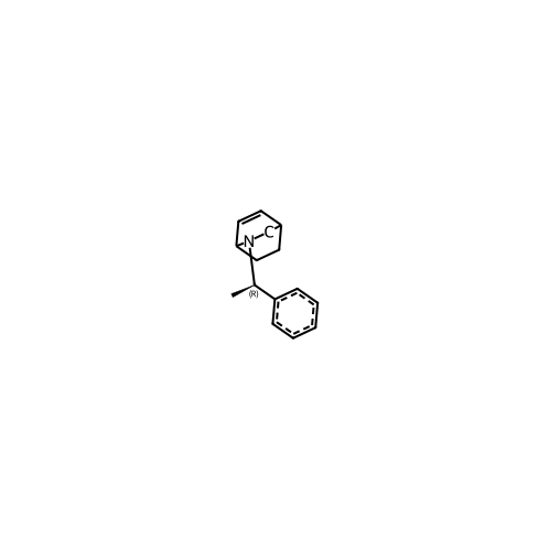 C[C@H](c1ccccc1)N1CC2C=CC1CC2